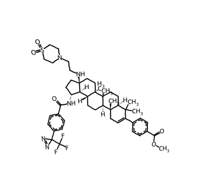 COC(=O)c1ccc(C2=CC[C@]3(C)[C@H]4CC[C@@H]5[C@H]6[C@H](NC(=O)c7ccc(C8(C(F)(F)F)N=N8)cc7)CC[C@]6(NCCN6CCS(=O)(=O)CC6)CC[C@@]5(C)[C@]4(C)CC[C@H]3C2(C)C)cc1